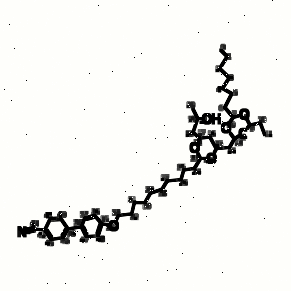 CCCCCCCC1OC(CC)CC(CC2CC(CC(C)O)OC(CCCCCCCCCCOc3ccc(-c4ccc(C#N)cc4)cc3)O2)O1